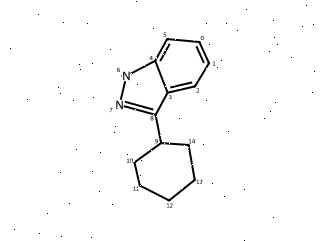 c1ccc2c(c1)[N]N=C2C1CCCCC1